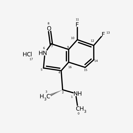 CN[C@H](C)c1c[nH]c(=O)c2c(F)c(F)ccc12.Cl